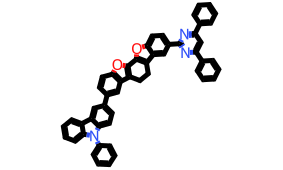 c1ccc(-c2cc(-c3ccccc3)nc(-c3ccc4oc5c(c4c3)CCc3c-5oc4ccc(-c5ccc6c(c5)c5ccccc5n6-c5ccccc5)cc34)n2)cc1